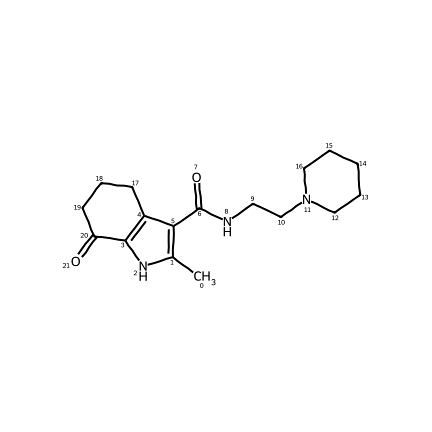 Cc1[nH]c2c(c1C(=O)NCCN1CCCCC1)CCCC2=O